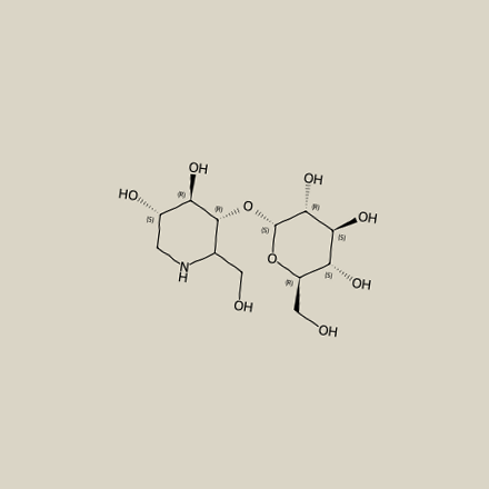 OCC1NC[C@H](O)[C@@H](O)[C@@H]1O[C@H]1O[C@H](CO)[C@@H](O)[C@H](O)[C@H]1O